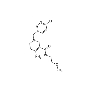 COCCNC(=O)C1=C(N)CCN(Cc2ccc(Cl)nc2)C1